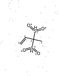 C=CC(C)([SH](=O)=O)[SH](=O)=O